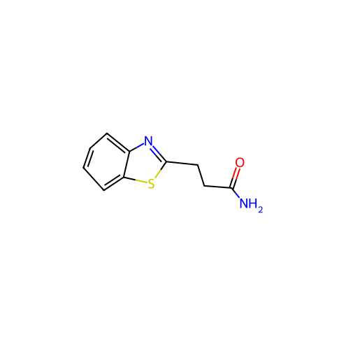 NC(=O)CCc1nc2ccccc2s1